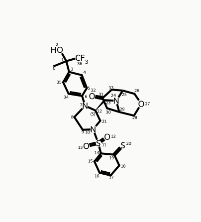 CC(O)(c1ccc(N2CCN(S(=O)(=O)C3=CC=CCC3=S)C[C@@H]2CN2C3COCC2CC(=O)C3)cc1)C(F)(F)F